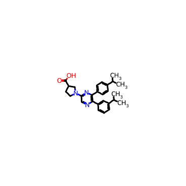 CC(C)c1ccc(-c2nc(N3CCC(C(=O)O)C3)cnc2-c2cccc(C(C)C)c2)cc1